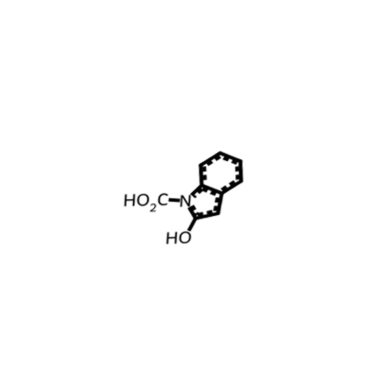 O=C(O)n1c(O)cc2ccccc21